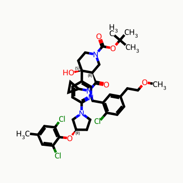 COCCc1ccc(Cl)c(CN(C(=O)[C@@H]2CN(C(=O)OC(C)(C)C)CC[C@@]2(O)c2ccc(N3CC[C@@H](Oc4c(Cl)cc(C)cc4Cl)C3)nc2)C2CC2)c1